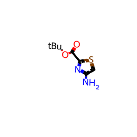 CC(C)(C)OC(=O)c1nc(N)cs1